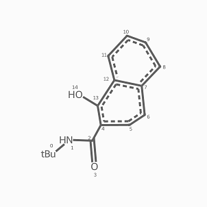 CC(C)(C)NC(=O)c1ccc2ccccc2c1O